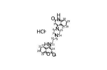 Cl.O=c1cc(N2CCN(CCCNc3cc(=O)oc4ccccc34)CC2)c2ccccc2[nH]1